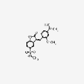 CNS(=O)(=O)c1ccc2c(c1)C(=Cc1ccc(N(C)C)cc1OC)C(=O)N2